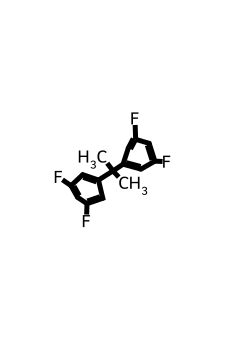 CC(C)(c1cc(F)cc(F)c1)c1cc(F)cc(F)c1